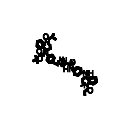 CCC(=O)N1c2ccccc2[C@H](Nc2ccc(NC(=O)c3cn(Cc4ccc(N(C(=O)OC(C)(C)C)[C@@H]5CCN(C(=O)C(C)C)c6ccccc65)cc4)nn3)cc2)C[C@@H]1C